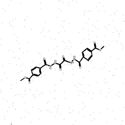 COC(=O)c1ccc(C(=O)NNC(=O)C(=O)NNC(=O)c2ccc(C(=O)OC)cc2)cc1